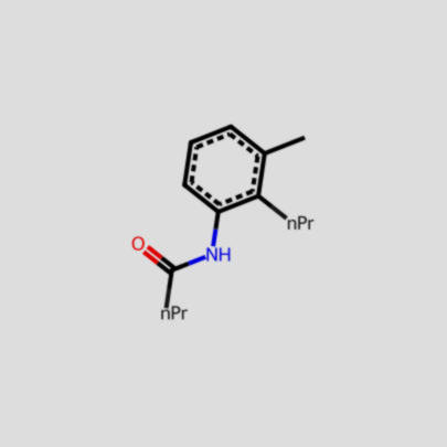 CCCC(=O)Nc1cccc(C)c1CCC